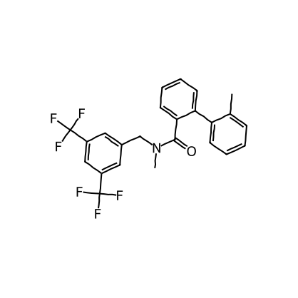 Cc1ccccc1-c1ccccc1C(=O)N(C)Cc1cc(C(F)(F)F)cc(C(F)(F)F)c1